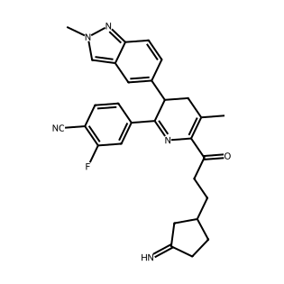 CC1=C(C(=O)CCC2CCC(=N)C2)N=C(c2ccc(C#N)c(F)c2)C(c2ccc3nn(C)cc3c2)C1